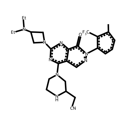 CCN(CC)C1CN(c2nc(N3CCNC(CC#N)C3)c3cnn(-c4cccc(C)c4C(F)(F)F)c(=O)c3n2)C1